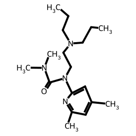 CCCN(CCC)CCN(C(=O)N(C)C)c1cc(C)cc(C)n1